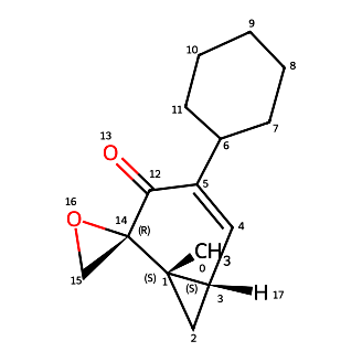 C[C@]12C[C@H]1C=C(C1CCCCC1)C(=O)[C@]21CO1